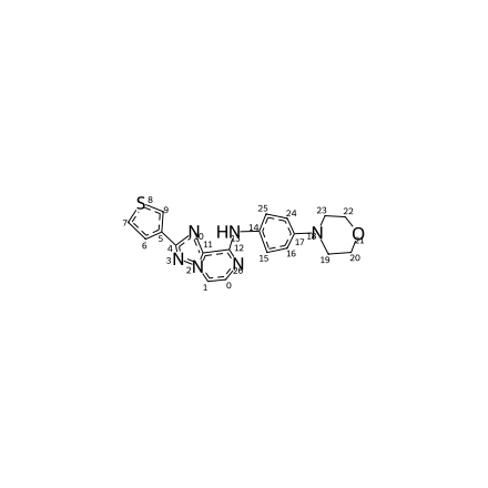 c1cn2nc(-c3ccsc3)nc2c(Nc2ccc(N3CCOCC3)cc2)n1